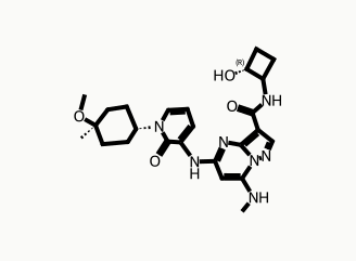 CNc1cc(Nc2cccn([C@H]3CC[C@](C)(OC)CC3)c2=O)nc2c(C(=O)NC3CC[C@H]3O)cnn12